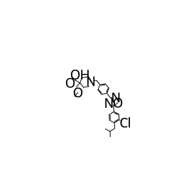 COCC1(C(=O)O)CCN(Cc2ccc(-c3noc(-c4ccc(CC(C)C)c(Cl)c4)n3)cc2)CC1